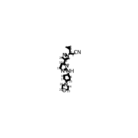 N#CCC(C1CC1)n1cc(-c2ccnc(Nc3ccc(N4CCOCC4)cc3)n2)cn1